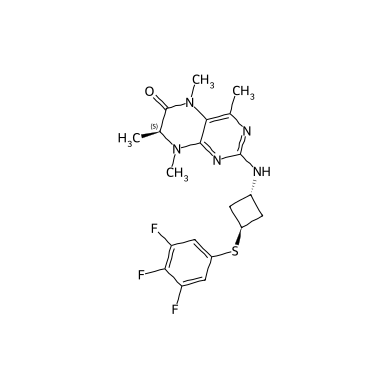 Cc1nc(N[C@H]2C[C@H](Sc3cc(F)c(F)c(F)c3)C2)nc2c1N(C)C(=O)[C@H](C)N2C